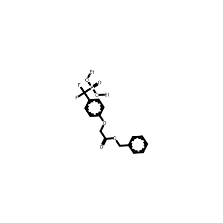 CCOP(=O)(OCC)C(F)(F)c1ccc(OCC(=O)OCc2ccccc2)cc1